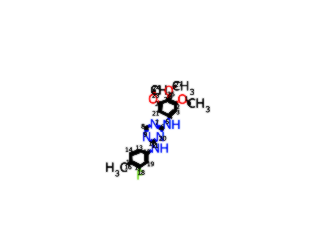 COc1cc(Nc2ncnc(Nc3ccc(C)c(F)c3)n2)cc(OC)c1OC